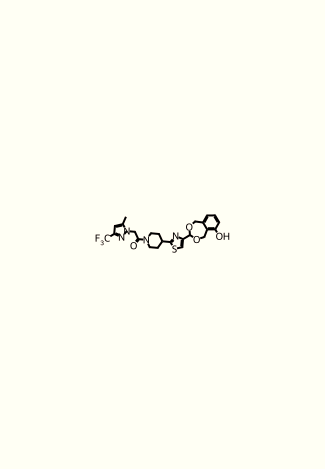 Cc1cc(C(F)(F)F)nn1CC(=O)N1CCC(c2nc(C3OCc4cccc(O)c4CO3)cs2)CC1